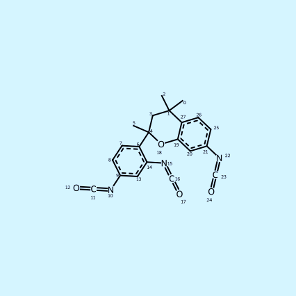 CC1(C)CC(C)(c2ccc(N=C=O)cc2N=C=O)Oc2cc(N=C=O)ccc21